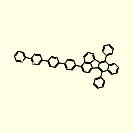 c1ccc(-c2c3c(c(-c4ccccc4)c4ccccc24)-c2ccc(-c4ccc(-c5ccc(-c6ccc(-c7ccccn7)nc6)cc5)cc4)c4cccc-3c24)cc1